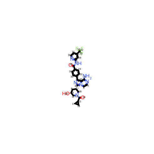 Nc1nccn2c([C@H]3C[C@@H](O)CN(C(=O)C4CC4)C3)nc(-c3ccc(C(=O)Nc4cc(C(F)(F)F)ccn4)cc3)c12